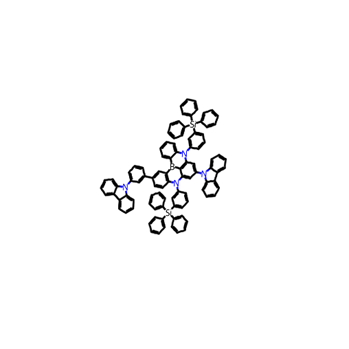 c1ccc([Si](c2ccccc2)(c2ccccc2)c2cccc(N3c4ccccc4B4c5cc(-c6cccc(-n7c8ccccc8c8ccccc87)c6)ccc5N(c5cccc([Si](c6ccccc6)(c6ccccc6)c6ccccc6)c5)c5cc(-n6c7ccccc7c7ccccc76)cc3c54)c2)cc1